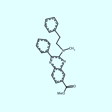 COC(=O)c1ccc2nc(-c3ccccc3)c(N(C)CCc3ccccc3)nc2c1